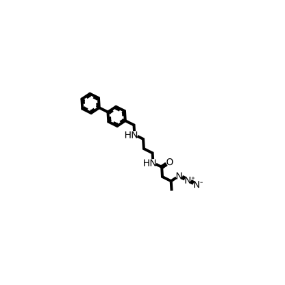 CC(CC(=O)NCCCNCc1ccc(-c2ccccc2)cc1)N=[N+]=[N-]